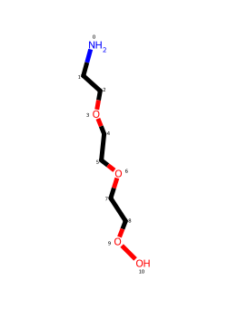 NCCOCCOCCOO